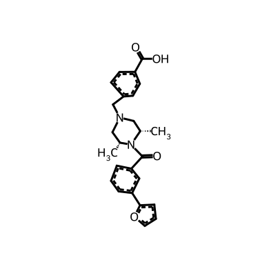 C[C@@H]1CN(Cc2ccc(C(=O)O)cc2)C[C@H](C)N1C(=O)c1cccc(-c2ccco2)c1